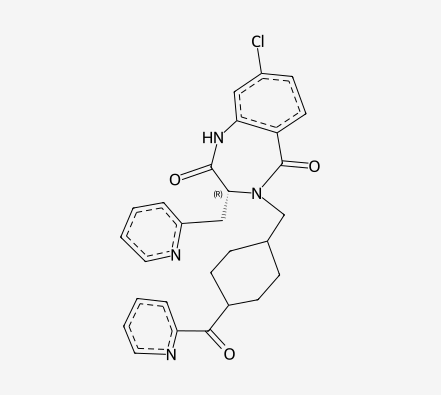 O=C(c1ccccn1)C1CCC(CN2C(=O)c3ccc(Cl)cc3NC(=O)[C@H]2Cc2ccccn2)CC1